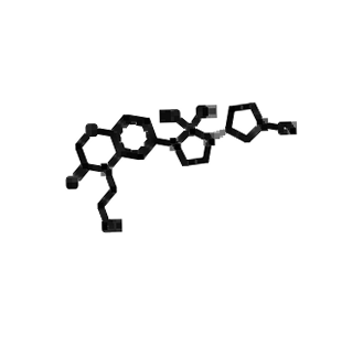 N#CN1CC[C@@H](N2CCN(c3ccc4c(c3)N(CCO)C(=O)CO4)S2(O)O)C1